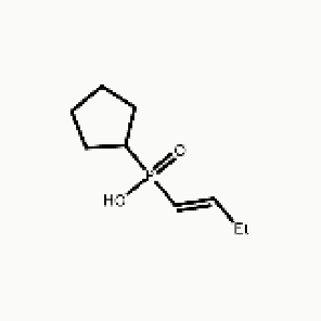 CCC=CP(=O)(O)C1CCCC1